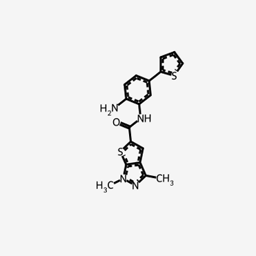 Cc1nn(C)c2sc(C(=O)Nc3cc(-c4cccs4)ccc3N)cc12